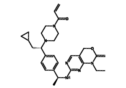 C=CC(=O)N1CCN([C@@H](CC2CC2)c2ccc([C@H](C)Nc3ncc4c(n3)N(CC)C(=C)OC4)cc2)CC1